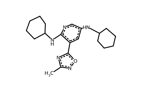 Cc1noc(-c2cc(NC3CCCCC3)cnc2NC2CCCCC2)n1